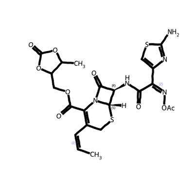 C/C=C\C1=C(C(=O)OCC2OC(=O)OC2C)N2C(=O)[C@@H](NC(=O)/C(=N\OC(C)=O)c3csc(N)n3)[C@@H]2SC1